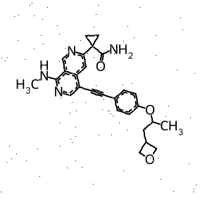 CNc1ncc(C#Cc2ccc(OC(C)CC3COC3)cc2)c2cc(C3(C(N)=O)CC3)ncc12